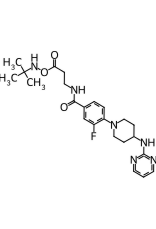 CC(C)(C)NOC(=O)CCNC(=O)c1ccc(N2CCC(Nc3ncccn3)CC2)c(F)c1